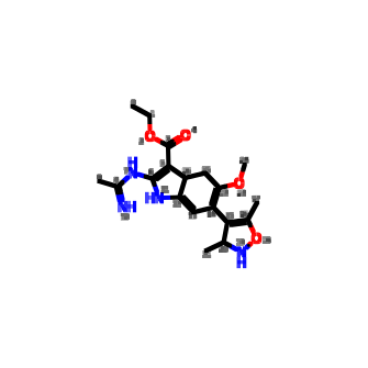 CCOC(=O)C1=C(NC(C)=N)NC2=CC(C3=C(C)ONC3C)=C(OC)CC21